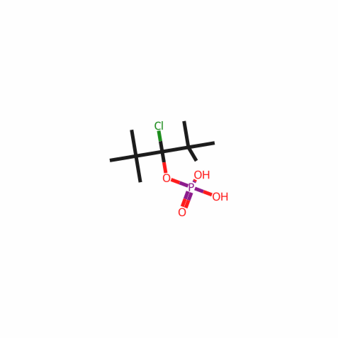 CC(C)(C)C(Cl)(OP(=O)(O)O)C(C)(C)C